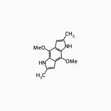 COc1c2cc(C)[nH]c2c(OC)c2cc(C)[nH]c12